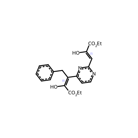 CCOC(=O)/C(O)=C/c1nccc(/C(Cc2ccccc2)=C(/O)C(=O)OCC)n1